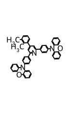 Cc1cccc(-c2cc(-c3ccc(N4c5ccccc5Oc5ccccc54)cc3)nc(-c3ccc(N4c5ccccc5Oc5ccccc54)cc3)c2)c1C